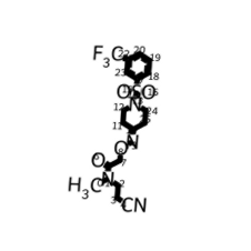 CN(CCC#N)C(=O)CON=C1CCN(S(=O)(=O)c2cccc(C(F)(F)F)c2)CC1